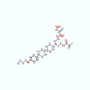 C=C(C)C(=O)OCCC(CCOC(=O)C(=C)CO)C1CCC(C2CCC(c3ccc(OCCCC)cc3)CC2)CC1